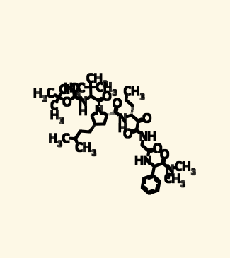 CCC[C@@H](NC(=O)[C@@H]1C[C@@H](CCC(C)C)CN1C(=O)[C@@H](NC(=O)OC(C)(C)C)C(C)(C)C)C(=O)C(=O)NCC(=O)NC(C(=O)N(C)C)c1ccccc1